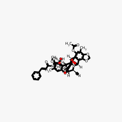 COc1c(C)cc2c(c1O)[C@H]1N[C@@H](C2)[C@H](C#N)N2C1[C@@H]1SC[C@H](NC(=O)C(C)NC(=O)/C=C/c3ccccc3)C(=O)OC[C@H]2c2c3c(c(C)c(OC(C)=O)c21)OCO3